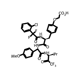 COc1ccc([C@H](NC(=O)[C@H](Cc2ccc(OCC(=O)O)cc2)NC(=O)C(F)(F)c2ccccc2Cl)C(=O)N[C@H](C(=O)C(F)(F)F)C(C)C)cc1